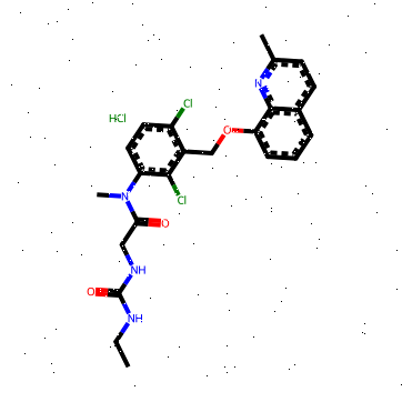 CCNC(=O)NCC(=O)N(C)c1ccc(Cl)c(COc2cccc3ccc(C)nc23)c1Cl.Cl